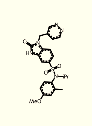 COc1ccc(N(C(C)C)S(=O)(=O)c2ccc3c(c2)[nH]c(=O)n3Cc2ccnnc2)c(C)c1